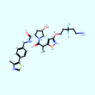 Cc1ncsc1-c1ccc(CNC(=O)[C@@H]2C[C@@H](O)CN2C(=O)C(c2cc(OCCC(F)(F)CCN)no2)C(C)C)cc1